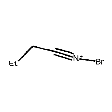 CCCC#[N+]Br